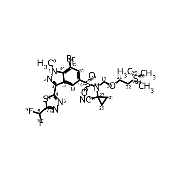 Cn1nc(-c2nnc(C(F)F)s2)c2cc(S(=O)(=O)N(COCCS(C)(C)C)C3(C#N)CC3)cc(Br)c21